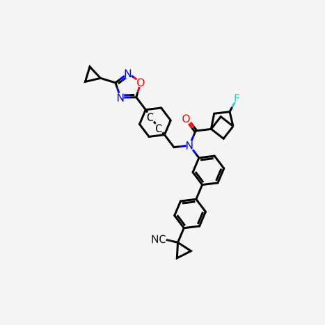 N#CC1(c2ccc(-c3cccc(N(CC45CCC(c6nc(C7CC7)no6)(CC4)CC5)C(=O)C45CC(F)C(C4)C5)c3)cc2)CC1